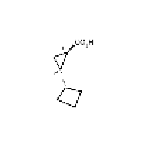 O=C(O)[C@@H]1C[C@H]1C1CCC1